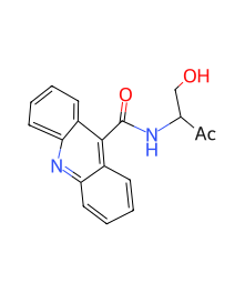 CC(=O)C(CO)NC(=O)c1c2ccccc2nc2ccccc12